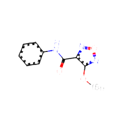 CC(C)(C)Oc1nonc1C(=O)Nc1ccccc1